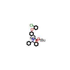 CC(C)(C)OC(=O)C(Cc1cc(Oc2ccccc2Cl)ccc1[N+](=O)[O-])N=C(c1ccccc1)c1ccccc1